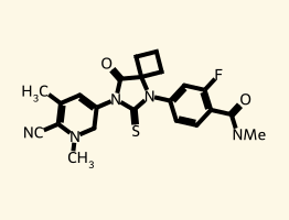 CNC(=O)c1ccc(N2C(=S)N(C3=CC(C)=C(C#N)N(C)C3)C(=O)C23CCC3)cc1F